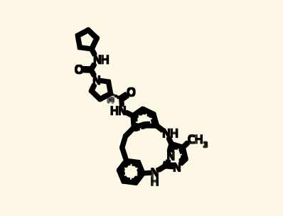 Cc1cnc2nc1Nc1ccc(NC(=O)[C@@H]3CCN(C(=O)NC4CCCC4)C3)c(c1)CCc1cccc(c1)N2